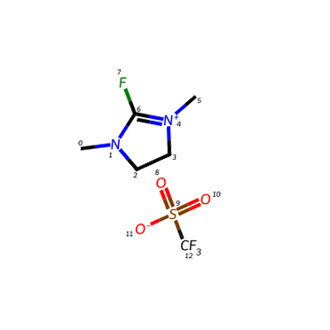 CN1CC[N+](C)=C1F.O=S(=O)([O-])C(F)(F)F